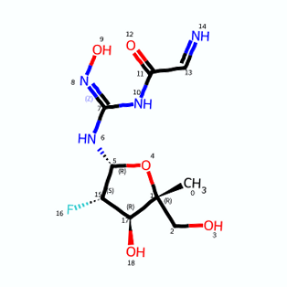 C[C@]1(CO)O[C@@H](N/C(=N/O)NC(=O)C=N)[C@@H](F)[C@@H]1O